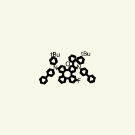 CC(C)(C)c1ccc(N(c2ccc(-c3ccccc3)cc2)c2ccc3c(c2)-c2ccccc2-c2ccc(F)cc2-c2cc(N(c4ccc(-c5ccccc5)cc4)c4ccc(C(C)(C)C)cc4)c4c(oc5ccccc54)c2-3)cc1